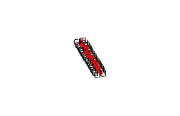 Cl[C](Cl)C(Cl)(Cl)C(Cl)(Cl)C(Cl)(Cl)C(Cl)(Cl)C(Cl)(Cl)C(Cl)(Cl)C(Cl)(Cl)C(Cl)(Cl)C(Cl)(Cl)C(Cl)(Cl)C(Cl)(Cl)C(Cl)(Cl)C(Cl)(Cl)C(Cl)(Cl)C(Cl)(Cl)C(Cl)(Cl)C(Cl)(Cl)C(Cl)(Cl)[C](Cl)Cl